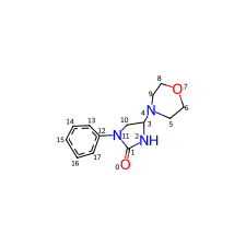 O=C1NC(N2CCOCC2)CN1c1ccccc1